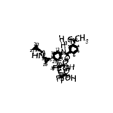 CN(C)c1cccc(C(=O)Nc2ccc([C@@H]3C[C@H]3NCC3CC3)cc2)c1.O=C(O)C(F)(F)F.O=C(O)C(F)(F)F